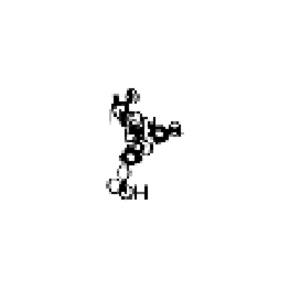 COc1ccc2c(c1)nc(S(=O)(=O)Cc1ncc(C)c(OC)c1C)n2S(=O)(=O)c1ccc(OCC(=O)O)cc1